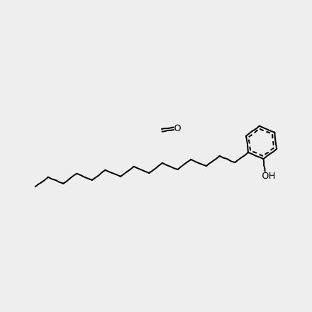 C=O.CCCCCCCCCCCCCCCc1ccccc1O